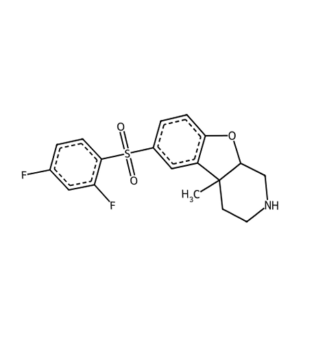 CC12CCNCC1Oc1ccc(S(=O)(=O)c3ccc(F)cc3F)cc12